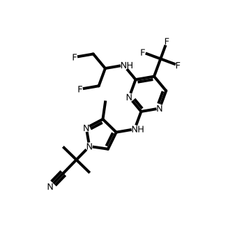 Cc1nn(C(C)(C)C#N)cc1Nc1ncc(C(F)(F)F)c(NC(CF)CF)n1